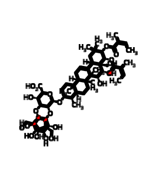 C/C=C(/C)C(=O)O[C@H]1[C@H](OC(=O)/C(C)=C\C)[C@]2(CO)[C@H](O)[C@H](O)[C@]3(C)C(=CC[C@@H]4[C@@]5(C)CC[C@H](O[C@@H]6O[C@H](C(=O)O)[C@@H](O)[C@H](O[C@@H]7O[C@@H](CO)[C@H](O)[C@H]7O)[C@H]6O[C@@H]6O[C@H](CO)[C@H](O)[C@H](O)[C@H]6O)[C@@H](C)[C@@H]5CC[C@]43C)[C@@H]2CC1(C)C